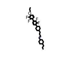 CCCOc1ccc(-c2ccc(C3CCC(CC/C=C/C4CCC(CCC)CC4)CC3)c(F)c2F)c(F)c1F